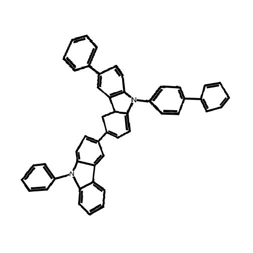 C1=C(c2ccc3c(c2)c2ccccc2n3-c2ccccc2)CC2C(=C1)N(c1ccc(-c3ccccc3)cc1)c1ccc(-c3ccccc3)cc12